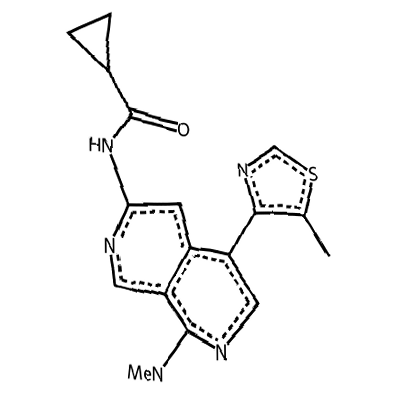 CNc1ncc(-c2ncsc2C)c2cc(NC(=O)C3CC3)ncc12